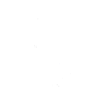 CCSc1ccc(/C=C/C(N)=O)cn1